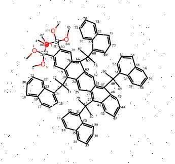 CO[Si](OC)(OC)c1cc2c(C(C)(C)c3cccc4ccccc34)c3cc4c(C(C)(C)c5cccc6ccccc56)c5ccccc5c(C(C)(C)c5cccc6ccccc56)c4cc3c(C(C)(C)c3cccc4ccccc34)c2cc1[Si](OC)(OC)OC